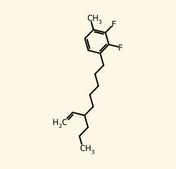 C=CC(CCC)CCCCCc1ccc(C)c(F)c1F